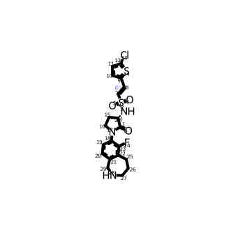 O=C1[C@@H](NS(=O)(=O)/C=C/c2ccc(Cl)s2)CCN1c1ccc2c(c1F)CCCNC2